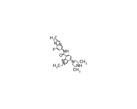 CCn1cc2c(N3C[C@@H](C)N[C@@H](C)C3)ccc(C(=O)Nc3cc(F)c4nc(C)cn4c3)c2n1